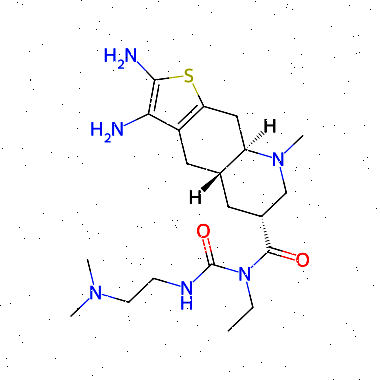 CCN(C(=O)NCCN(C)C)C(=O)[C@@H]1C[C@@H]2Cc3c(sc(N)c3N)C[C@H]2N(C)C1